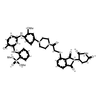 COc1cc(N2CCN(C(=O)CSc3cccc4c3C(=O)N(C3CCC(=O)NC3=O)C4=O)CC2)ccc1Nc1ncc(Cl)c(Nc2ccccc2P(=O)(OC)OC)n1